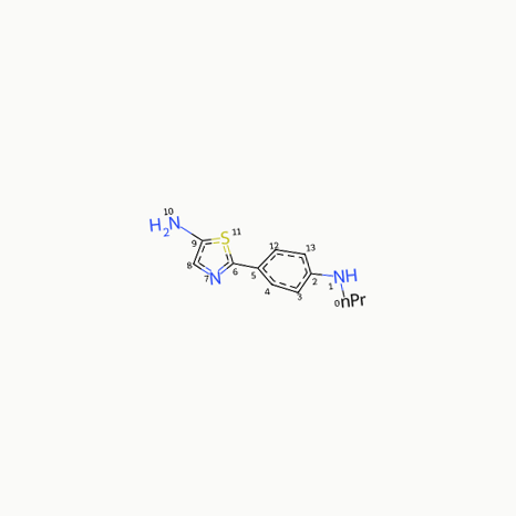 CCCNc1ccc(-c2ncc(N)s2)cc1